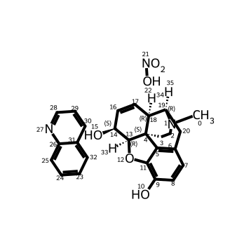 CN1CC[C@]23c4c5ccc(O)c4O[C@H]2[C@@H](O)C=C[C@H]3[C@H]1C5.O=[N+]([O-])O.c1ccc2ncccc2c1